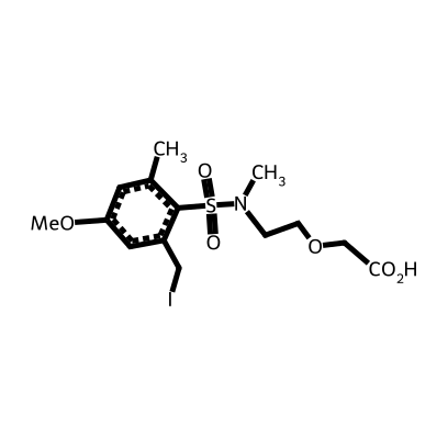 COc1cc(C)c(S(=O)(=O)N(C)CCOCC(=O)O)c(CI)c1